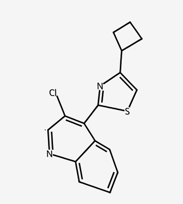 Clc1[c]nc2ccccc2c1-c1nc(C2CCC2)cs1